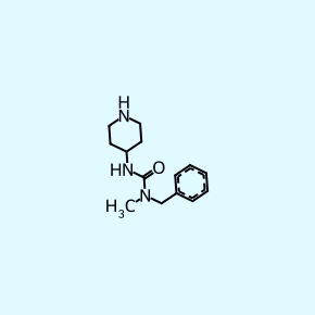 CN(Cc1ccccc1)C(=O)NC1CCNCC1